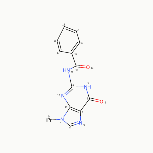 CC(C)n1cnc2c(=O)[nH]c(NC(=O)c3ccccc3)nc21